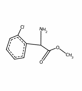 COC(=O)C(N)c1ccccc1Cl